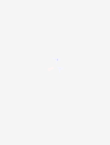 CCCCCCNC(=O)Nc1c(C)cc(C)cc1CC